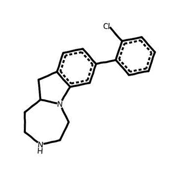 Clc1ccccc1-c1ccc2c(c1)N1CCNCCC1C2